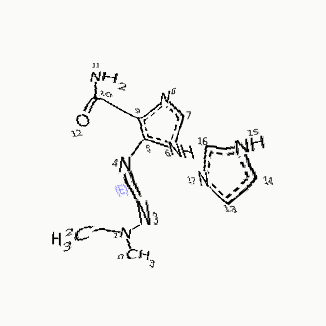 CN(C)/N=N/c1[nH]cnc1C(N)=O.c1c[nH]cn1